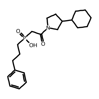 O=C(CP(=O)(O)CCCc1ccccc1)N1CCC(C2CCCCC2)C1